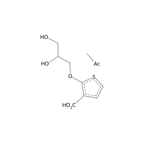 CC(C)=O.O=C(O)c1ccsc1OCC(O)CO